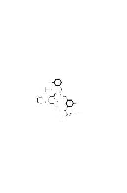 CCCN(CCC)C(=O)c1cc(C)cc(C(=O)NC(Cc2cc(F)cc(F)c2)C(O)C2C[C@@H](N3CCCC3=O)CCN2)c1